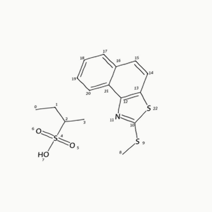 CCC(C)S(=O)(=O)O.CSc1nc2c(ccc3ccccc32)s1